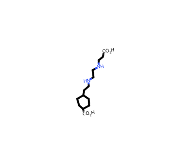 O=C(O)CCNCCNCCC1CCC(C(=O)O)CC1